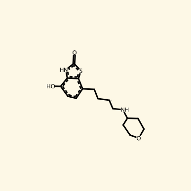 O=c1[nH]c2c(O)ccc(CC[CH]CNC3CCOCC3)c2s1